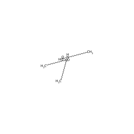 CCCCCCCCCCCCCCCCCCNC(CCC(=O)O)C(=O)N(CCCCCCCCCCCCCCCCCC)CCCCCCCCCCCCCCCCCC